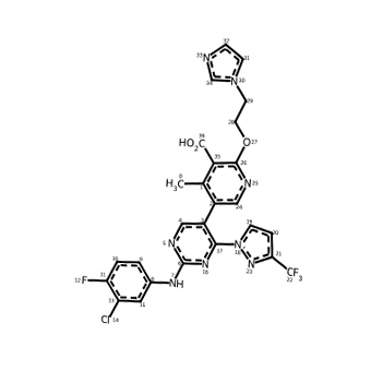 Cc1c(-c2cnc(Nc3ccc(F)c(Cl)c3)nc2-n2ccc(C(F)(F)F)n2)cnc(OCCn2ccnc2)c1C(=O)O